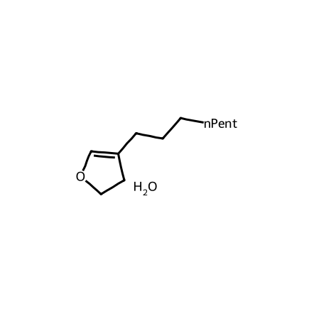 CCCCCCCCC1=COCC1.O